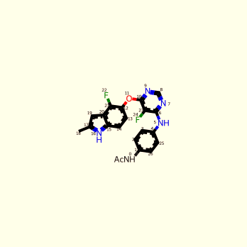 CC(=O)Nc1ccc(Nc2ncnc(Oc3ccc4[nH]c(C)cc4c3F)c2F)cc1